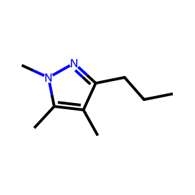 CCCc1nn(C)c(C)c1C